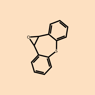 c1ccc2c(c1)Sc1ccccc1C1OC21